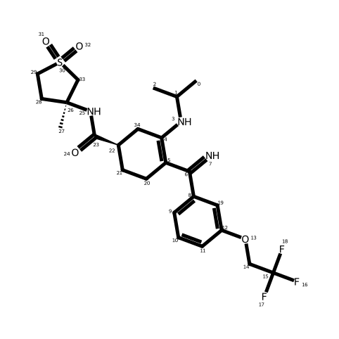 CC(C)NC1=C(C(=N)c2cccc(OCC(F)(F)F)c2)CC[C@@H](C(=O)N[C@@]2(C)CCS(=O)(=O)C2)C1